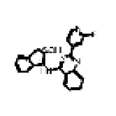 CCc1cc(-c2nc(N[C@H]3c4ccccc4C[C@H]3O)c3ccccc3n2)ccn1